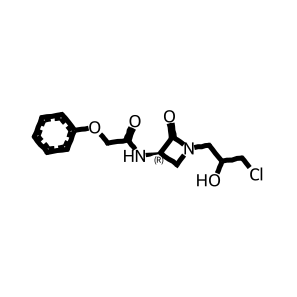 O=C(COc1ccccc1)N[C@@H]1CN(CC(O)CCl)C1=O